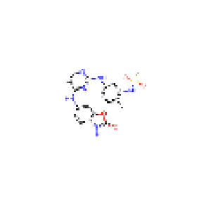 Cc1ccc(Nc2ncc(C)c(Nc3ccc4[nH]c(=O)oc4c3)n2)cc1NS(C)(=O)=O